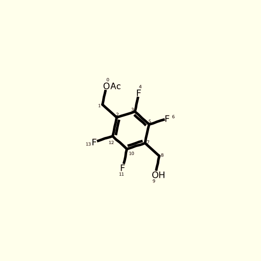 CC(=O)OCc1c(F)c(F)c(CO)c(F)c1F